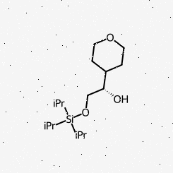 CC(C)[Si](OC[C@@H](O)C1CCOCC1)(C(C)C)C(C)C